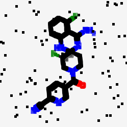 N#Cc1ccc(C(=O)N2CC[C@@]3(N=C(N)c4c(F)cccc4N3)[C@@H](F)C2)cn1